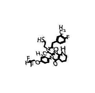 Cc1cc(CC(=O)N(CCS)[C@H](C)c2nc3c(c(=O)n2-c2ccc(OCC(F)(F)F)cc2)CCCN3)ccc1F